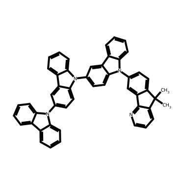 CC1(C)c2ccc(-n3c4ccccc4c4cc(-n5c6ccccc6c6cc(-n7c8ccccc8c8ccccc87)ccc65)ccc43)cc2-c2ncccc21